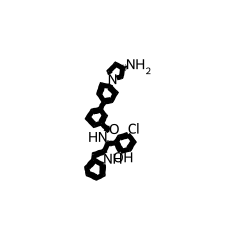 N[C@H]1CCN(c2ccc(-c3cccc(C(=O)N[C@@H](c4cc5ccccc5[nH]4)c4cc(Cl)ccc4O)c3)cc2)C1